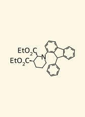 CCOC(=O)[C@@H]1[C@H](C(=O)OCC)CCCN1c1cccc2c1C(c1ccccc1)c1ccccc1-2